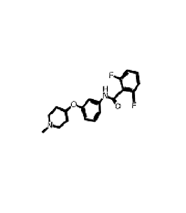 CN1CCC(Oc2cccc(NC(=O)c3c(F)cccc3F)c2)CC1